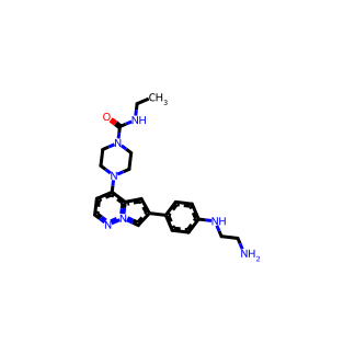 CCNC(=O)N1CCN(c2ccnn3cc(-c4ccc(NCCN)cc4)cc23)CC1